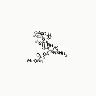 CONC(=O)CO/N=C(\C(=O)N[C@@H]1C(=O)N2C(C(=O)O)=C(COC(C)=O)CS[C@H]12)c1csc(N)n1